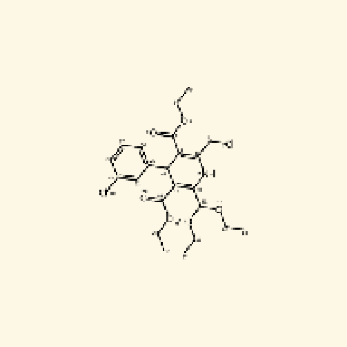 CCOC(=O)C1=C(CCl)NC(C(OCC)OCC)=C(C(=O)OCC)C1c1cccc(Cl)c1